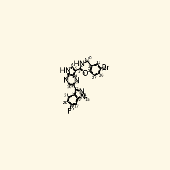 C[C@@H](NC(=O)c1c[nH]c2ncc(-c3nn(C)c4cc(F)ccc34)nc12)c1cccc(Br)c1